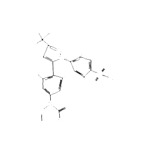 CSN(C(N)=O)c1ccc(-c2cc(C(F)(F)F)nn2-c2ccc(S(N)(=O)=O)cc2)c(F)c1